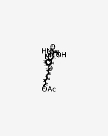 CC(=O)OCCCCCCCOc1ccc2c(c1)CN1C(=N2)NC(=O)C1CO